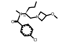 CCC[C@@H](CN1CC(OC)C1)N(C)C(=O)c1ccc(Cl)cc1